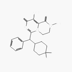 CC(C)N1CCn2c(C(c3ccccc3)C3CCC(F)(F)CC3)nc(=O)c(O)c2C1=O